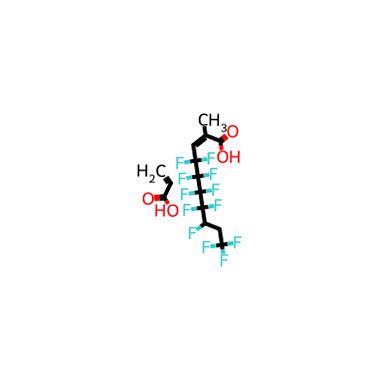 C=CC(=O)O.CC(=CC(F)(F)C(F)(F)C(F)(F)C(F)(F)C(F)CC(F)(F)F)C(=O)O